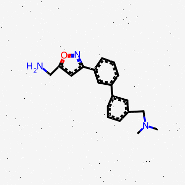 CN(C)Cc1cccc(-c2cccc(-c3cc(CN)on3)c2)c1